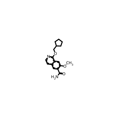 COc1cc2c(OCC3CCCC3)nccc2cc1C(N)=O